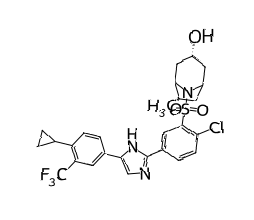 C[C@@H]1CC2C[C@@H](O)CC1N2S(=O)(=O)c1cc(-c2ncc(-c3ccc(C4CC4)c(C(F)(F)F)c3)[nH]2)ccc1Cl